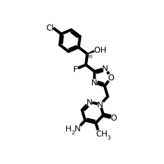 Cc1c(N)cnn(Cc2nc(C(F)[C@H](O)c3ccc(Cl)cc3)no2)c1=O